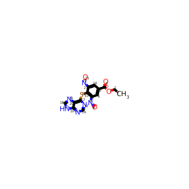 CCOC(=O)c1cc(N=O)c(Sc2ncnc3[nH]cnc23)c(N=O)c1